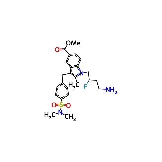 COC(=O)c1ccc2c(c1)c(Cc1ccc(S(=O)(=O)N(C)C)cc1)c(C)n2C/C(F)=C/CN